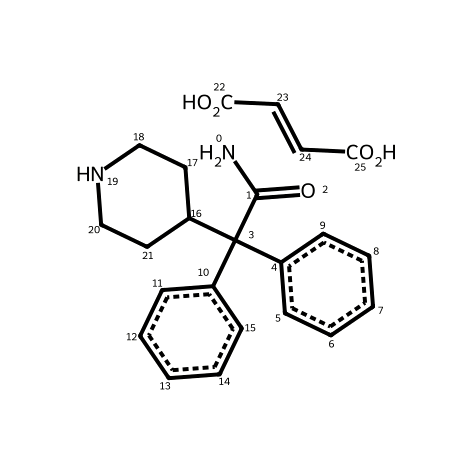 NC(=O)C(c1ccccc1)(c1ccccc1)C1CCNCC1.O=C(O)/C=C/C(=O)O